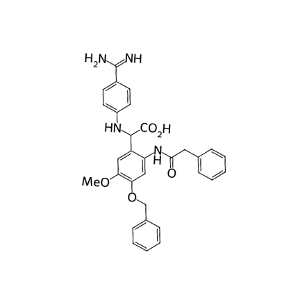 COc1cc(C(Nc2ccc(C(=N)N)cc2)C(=O)O)c(NC(=O)Cc2ccccc2)cc1OCc1ccccc1